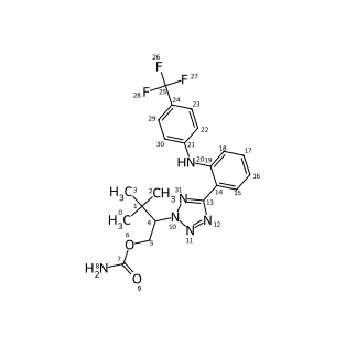 CC(C)(C)C(COC(N)=O)n1nnc(-c2ccccc2Nc2ccc(C(F)(F)F)cc2)n1